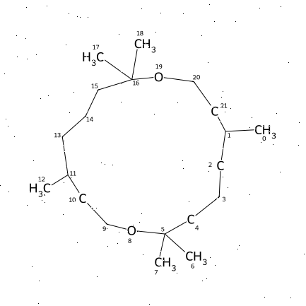 CC1CCCC(C)(C)OCCC(C)CCCC(C)(C)OCC1